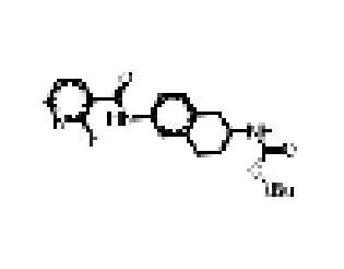 CC(C)(C)OC(=O)NC1CCc2cc(NC(=O)c3cccnc3F)ccc2C1